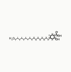 CCCCCCCCCCCCCCCCCCc1ccc(C(=O)O)c(O)c1